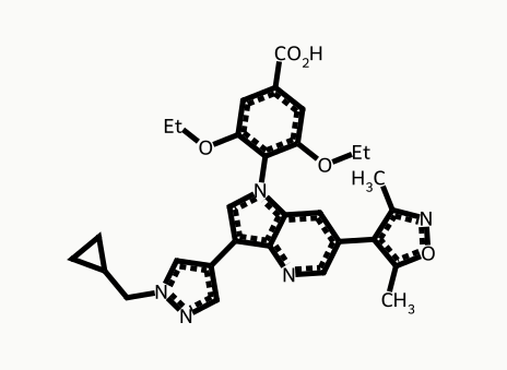 CCOc1cc(C(=O)O)cc(OCC)c1-n1cc(-c2cnn(CC3CC3)c2)c2ncc(-c3c(C)noc3C)cc21